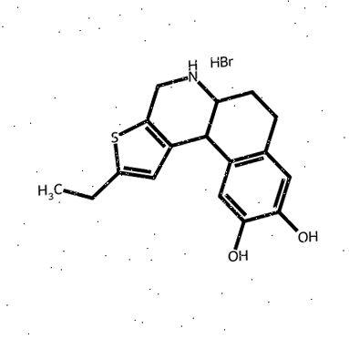 Br.CCc1cc2c(s1)CNC1CCc3cc(O)c(O)cc3C21